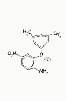 Cc1cc(C)cc(Oc2cc([N+](=O)[O-])ccc2N)c1.Cl